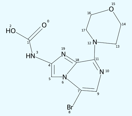 O=C(O)Nc1cn2c(Br)cnc(N3CCOCC3)c2n1